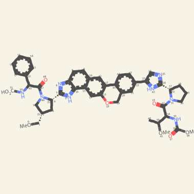 COC[C@H]1C[C@@H](c2nc3ccc4cc5c(cc4c3[nH]2)OCc2cc(-c3cnc([C@@H]4CCCN4C(=O)C(NC(=O)OC)C(C)OC)[nH]3)ccc2-5)N(C(=O)C(NC(=O)O)c2ccccc2)C1